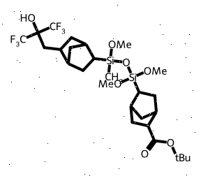 CO[Si](C)(O[Si](OC)(OC)C1CC2CC1CC2C(=O)OC(C)(C)C)C1CC2CC1CC2CC(O)(C(F)(F)F)C(F)(F)F